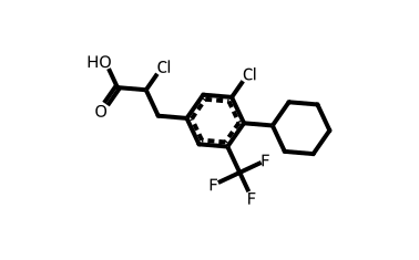 O=C(O)C(Cl)Cc1cc(Cl)c(C2CCCCC2)c(C(F)(F)F)c1